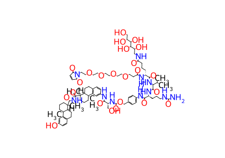 CC(C)[C@H](NC(=O)[C@@H](CCCC(=O)NC[C@H](O)[C@@H](O)[C@H](O)[C@H](O)CO)NC(=O)CCOCCOCCOCCOCCN1C(=O)C=CC1=O)C(=O)N[C@@H](CCCNC(N)=O)C(=O)Nc1ccc(COC(=O)N[C@@H](CO)C(=O)Nc2ccc3c(c2)[C@@]2(C)CCC[C@](C)(C(=O)NC(=O)[C@@]4(C)CCC[C@]5(C)c6cc(O)ccc6CC[C@@H]45)[C@@H]2CC3)cc1